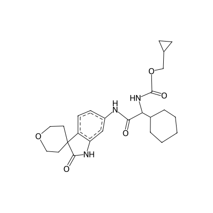 O=C(NC(C(=O)Nc1ccc2c(c1)NC(=O)C21CCOCC1)C1CCCCC1)OCC1CC1